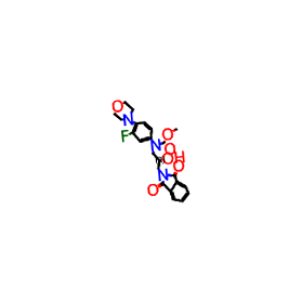 COC(=O)N(C[C@H](O)CN1C(=O)c2ccccc2C1=O)c1ccc(N2CCOCC2)c(F)c1